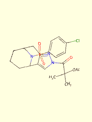 CC(=O)OC(C)(C)C(=O)n1cc2c(n1)CC1CCCC2N1S(=O)(=O)c1ccc(Cl)cc1